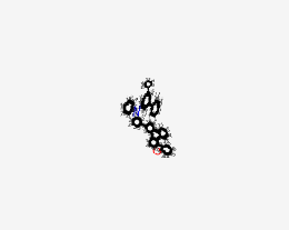 c1ccc(-c2cc(-c3ccccc3)cc(N(c3ccccc3)c3cccc(-c4ccc5c6ccccc6c6c(ccc7oc8ccccc8c76)c5c4)c3)c2)cc1